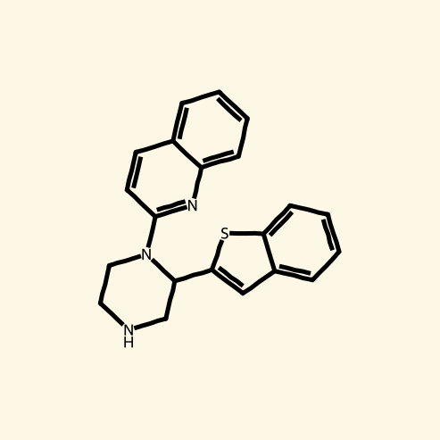 c1ccc2nc(N3CCNCC3c3cc4ccccc4s3)ccc2c1